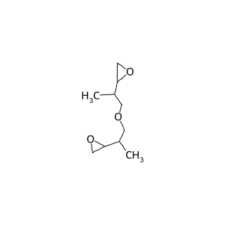 CC(COCC(C)C1CO1)C1CO1